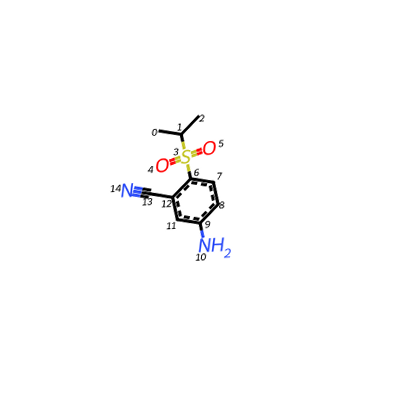 CC(C)S(=O)(=O)c1ccc(N)cc1C#N